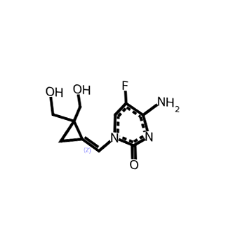 Nc1nc(=O)n(/C=C2/CC2(CO)CO)cc1F